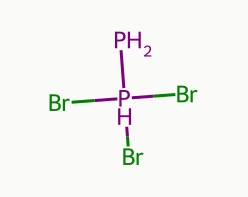 P[PH](Br)(Br)Br